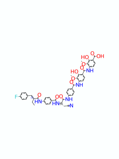 CC/C(=C\c1ccc(F)cc1)C(=O)Nc1ccc(C(=O)N[C@@H](CC#N)C(=O)Nc2ccc(C(=O)Nc3ccc(C(=O)Nc4ccc(C(=O)O)c(O)c4OC)c(O)c3OC)cc2)cc1